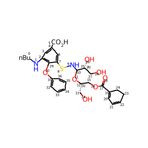 CCCCNc1cc(C(=O)O)cc(SNC(O[C@@H](CO)COC(=O)C2=CC=CCC2)[C@H](O)CO)c1Oc1ccccc1